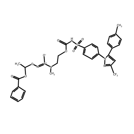 Cc1ccc(-c2cc(C(F)(F)F)nn2-c2ccc(S(=O)(=O)NC(=O)OCCN(C)[N+]([O-])=NOC(C)OC(=O)c3ccccc3)cc2)cc1